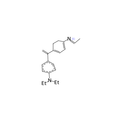 C=C(C1=CC=C(/N=C/C)CC1)c1ccc(N(CC)CC)cc1